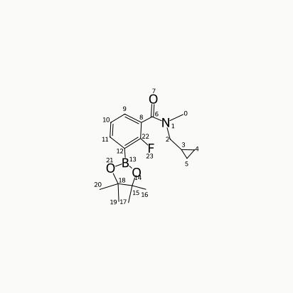 CN(CC1CC1)C(=O)c1cccc(B2OC(C)(C)C(C)(C)O2)c1F